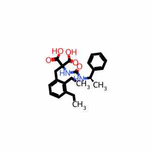 CCc1cccc(CC(NC(=O)N[C@H](C)c2ccccc2)(C(=O)O)C(=O)O)c1CC